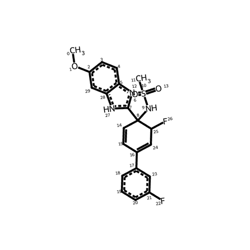 COc1ccc2nc(C3(NS(C)(=O)=O)C=CC(c4cccc(F)c4)=CC3F)[nH]c2c1